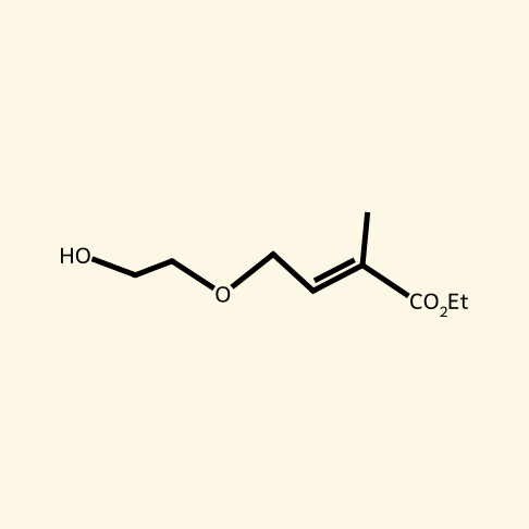 CCOC(=O)C(C)=CCOCCO